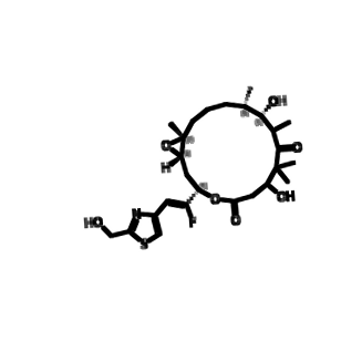 CC1C(=O)C(C)(C)C(O)CC(=O)O[C@H](C(F)=Cc2csc(CO)n2)C[C@@H]2O[C@]2(C)CCC[C@H](C)[C@@H]1O